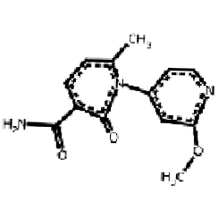 COc1cc(-n2c(C)ccc(C(N)=O)c2=O)ccn1